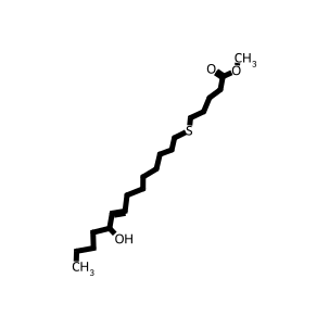 CCCCC(O)C=CCCCCCCCSCCCCC(=O)OC